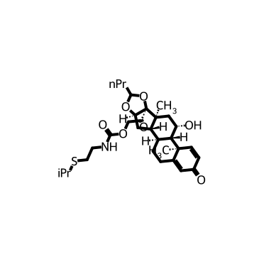 CCCC1O[C@@H]2C[C@H]3[C@@H]4CCC5=CC(=O)C=C[C@]5(C)[C@H]4[C@@H](O)C[C@]3(C)[C@]2(C(=O)COC(=O)NCCSC(C)C)O1